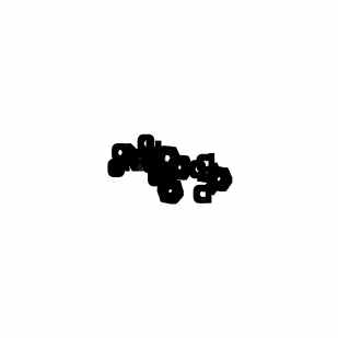 O=C1NC(C(=O)N2CC[C@@]3(S(=O)(=O)c4ccccc4)c4ccc(OCc5c(Cl)cccc5Cl)cc4CC[C@@H]23)CO1